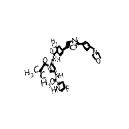 Cc1cc(-c2cnc(-c3ccc(CN4CCOCC4)cc3)o2)ccc1C(=O)NC[C@H]1C[C@@H](NC(=O)[C@@H]2C[C@H](F)CN2)CN1C(=O)C(C)C